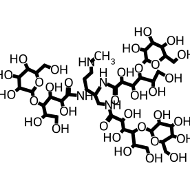 CNCCC(NC(=O)C(O)C(O)C(OC1OC(CO)C(O)C(O)C1O)C(O)CO)C(CNC(=O)C(O)C(O)C(OC1OC(CO)C(O)C(O)C1O)C(O)CO)NC(=O)C(O)C(O)C(OC1OC(CO)C(O)C(O)C1O)C(O)CO